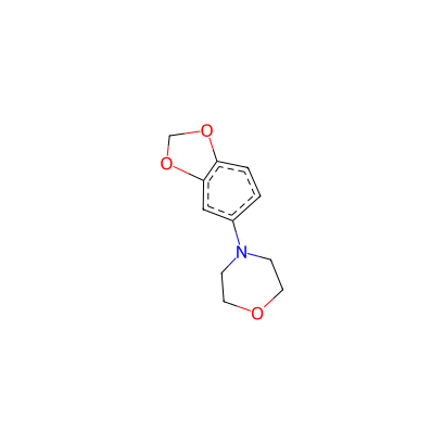 c1cc2c(cc1N1CCOCC1)OCO2